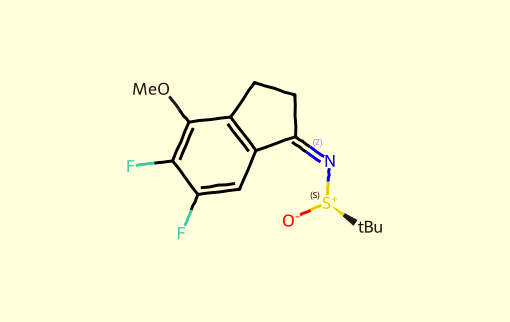 COc1c(F)c(F)cc2c1CC/C2=N/[S@+]([O-])C(C)(C)C